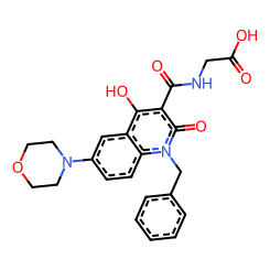 O=C(O)CNC(=O)c1c(O)c2cc(N3CCOCC3)ccc2n(Cc2ccccc2)c1=O